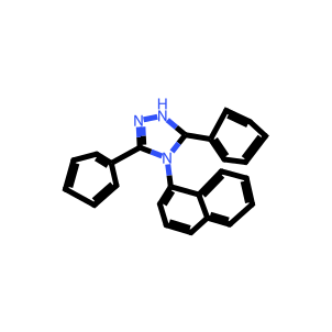 c1ccc(C2=NNC(c3ccccc3)N2c2cccc3ccccc23)cc1